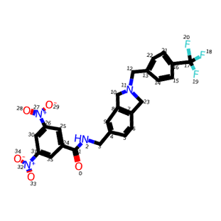 O=C(NCc1ccc2c(c1)CN(Cc1ccc(C(F)(F)F)cc1)C2)c1cc([N+](=O)[O-])cc([N+](=O)[O-])c1